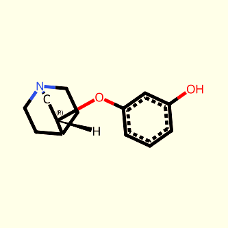 Oc1cccc(O[C@H]2CN3CCC2CC3)c1